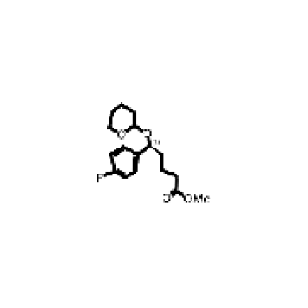 COC(=O)CCC[C@H](OC1CCCCO1)c1ccc(F)cc1